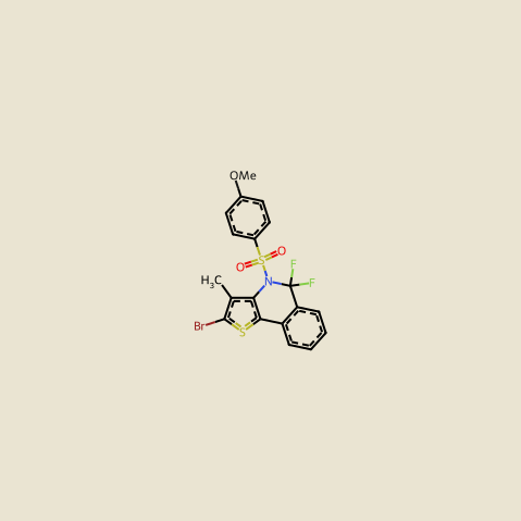 COc1ccc(S(=O)(=O)N2c3c(sc(Br)c3C)-c3ccccc3C2(F)F)cc1